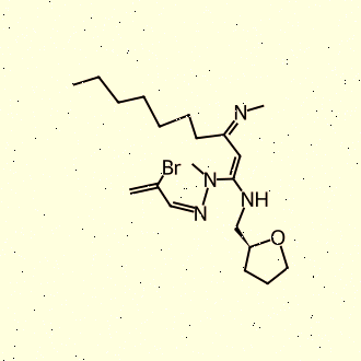 C=C(Br)/C=N\N(C)/C(=C\C(CCCCCCC)=N/C)NC[C@@H]1CCCO1